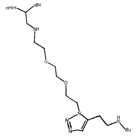 CCCCCCC(CCCC)CNCCOCCOCCn1nncc1CCNC(C)CC